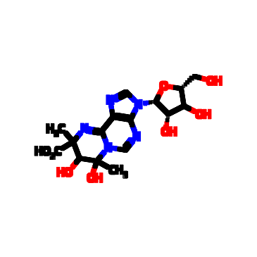 CC1(C(=O)O)N=C2c3ncn([C@@H]4O[C@H](CO)C(O)[C@@H]4O)c3N=CN2C(C)(O)C1O